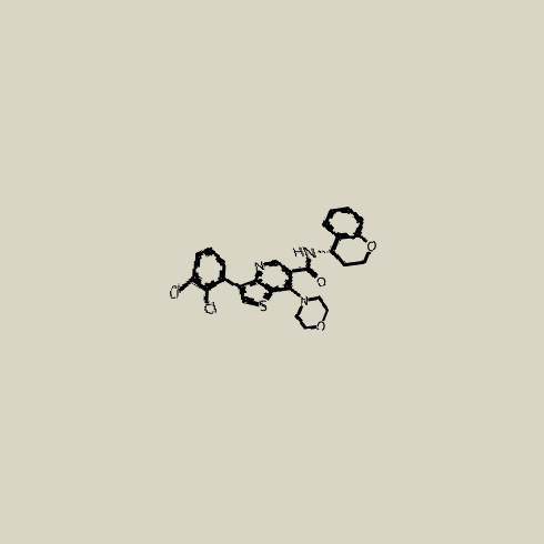 O=C(N[C@H]1CCOc2ccccc21)c1cnc2c(-c3cccc(Cl)c3Cl)csc2c1N1CCOCC1